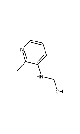 Cc1ncccc1NCO